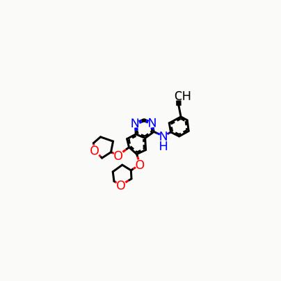 C#Cc1cccc(Nc2ncnc3cc(OC4CCCOC4)c(OC4CCCOC4)cc23)c1